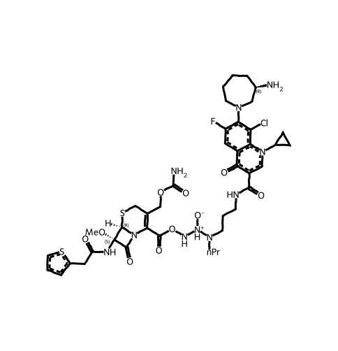 CCCN(CCCNC(=O)c1cn(C2CC2)c2c(Cl)c(N3CCCC[C@@H](N)C3)c(F)cc2c1=O)[NH+]([O-])NOC(=O)C1=C(COC(N)=O)CS[C@H]2N1C(=O)[C@]2(NC(=O)Cc1cccs1)OC